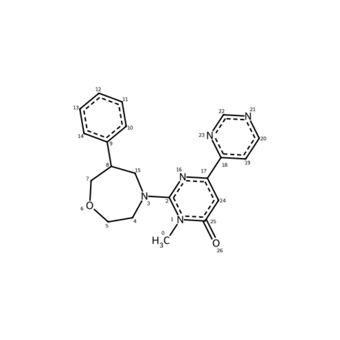 Cn1c(N2CCOCC(c3ccccc3)C2)nc(-c2ccncn2)cc1=O